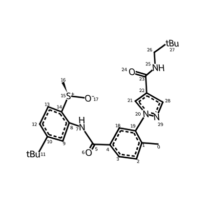 Cc1ccc(C(=O)Nc2cc(C(C)(C)C)ccc2[S@@+](C)[O-])cc1-n1cc(C(=O)NCC(C)(C)C)cn1